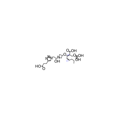 CCC/C=C\C(OC1CN(C(O)Cn2cc(CCC(=O)O)nn2)C1)=C(/COB(O)O)C(=O)O